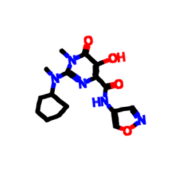 CN(c1nc(C(=O)Nc2cnoc2)c(O)c(=O)n1C)C1CCCCC1